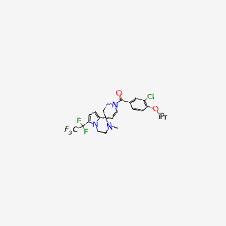 CC(C)Oc1ccc(C(=O)N2CCC3(CC2)c2ccc(C(F)(F)C(F)(F)F)n2CCN3C)cc1Cl